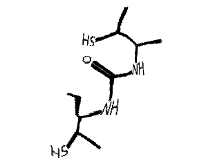 CC(S)C(C)NC(=O)NC(C)C(C)S